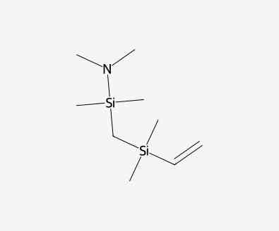 C=C[Si](C)(C)C[Si](C)(C)N(C)C